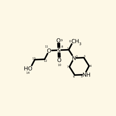 CC(N1CCNCC1)S(=O)(=O)OCCO